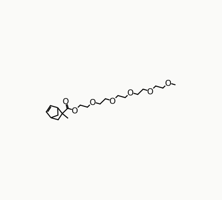 COCCOCCOCCOCCOCCOC(=O)C1(C)CC2C=CC1C2